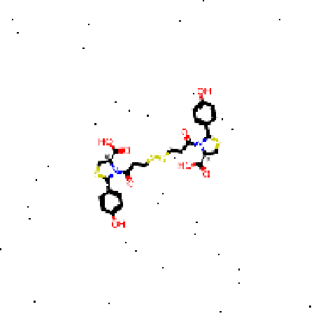 O=C(O)[C@@H]1CSC(c2ccc(O)cc2)N1C(=O)CCSSCCC(=O)N1C(c2ccc(O)cc2)SC[C@H]1C(=O)O